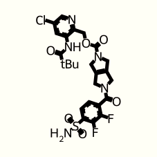 CC(C)(C)C(=O)Nc1cc(Cl)cnc1COC(=O)N1CC2=C(C1)CN(C(=O)c1ccc(S(N)(=O)=O)c(F)c1F)C2